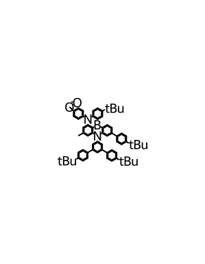 Cc1cc2c3c(c1)N(c1cc(-c4ccc(C(C)(C)C)cc4)cc(-c4ccc(C(C)(C)C)cc4)c1)c1cc(-c4ccc(C(C)(C)C)cc4)ccc1B3c1cc(C(C)(C)C)ccc1N2c1ccc2c(c1)OCO2